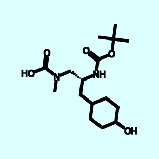 CN(C[C@@H](CC1CCC(O)CC1)NC(=O)OC(C)(C)C)C(=O)O